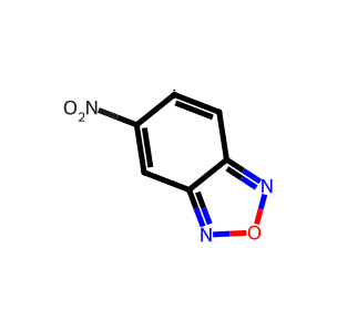 O=[N+]([O-])c1[c]cc2nonc2c1